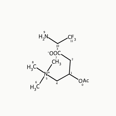 CC(=O)OC(CC(=O)[O-])C[N+](C)(C)C.NCC(F)(F)F